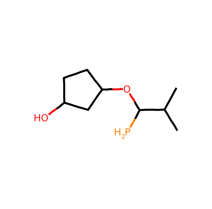 CC(C)C(P)OC1CCC(O)C1